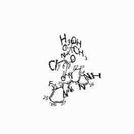 CC(C)(O)c1nc(Cl)c(C(=O)N2CCc3[nH]cnc3C2c2cc3c(F)cccn3n2)o1